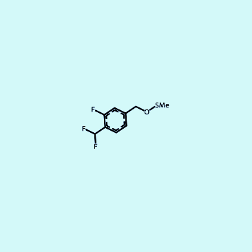 CSOCc1ccc(C(F)F)c(F)c1